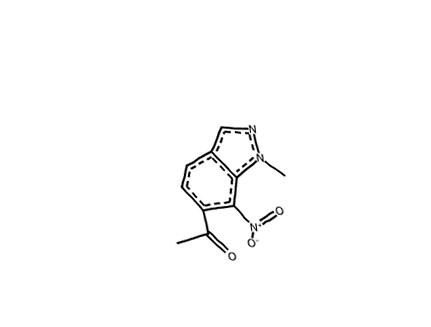 CC(=O)c1ccc2cnn(C)c2c1[N+](=O)[O-]